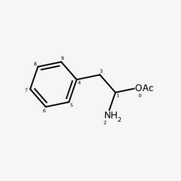 CC(=O)OC(N)Cc1ccccc1